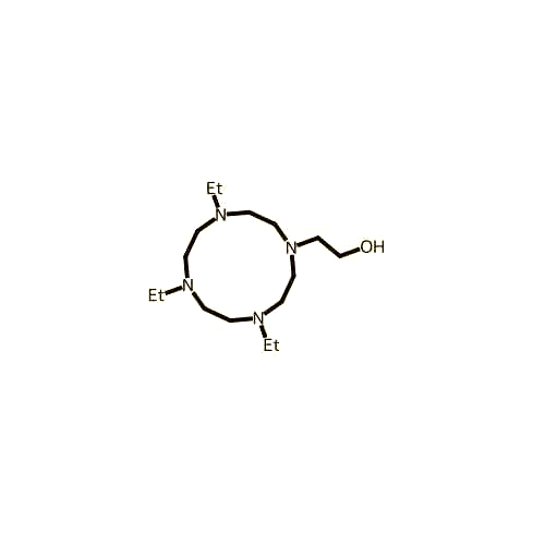 CCN1CCN(CC)CCN(CCO)CCN(CC)CC1